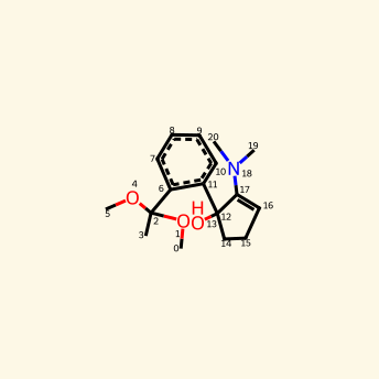 COC(C)(OC)c1ccccc1C1(O)CCC=C1N(C)C